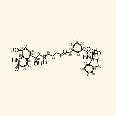 O=C(NC1(C(=O)O)CCc2ccccc21)c1cccc(COCCCCNC[C@H](O)c2ccc(O)c3[nH]c(=O)ccc23)c1